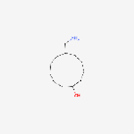 NCC1CCCCCC(O)CCCC1